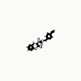 C#Cc1ccc(COC(=O)N[C@@H](Cc2ccccc2)C(=O)OC)cc1